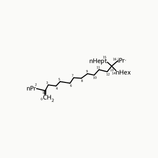 C=C(CCC)CCCCCCCCCCC(CCCCCC)(CCCCCCC)[C](C)C